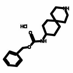 Cl.O=C(NC1CCC2(CCNCC2)CC1)OCc1ccccc1